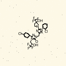 O=c1n(Cc2nc(N3CCC(O)(C(F)(F)F)C3)n(-c3ccccc3Cl)n2)nc(-c2ccc(Cl)cc2)n1CC(O)C(F)(F)F